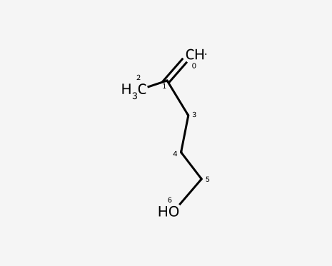 [CH]=C(C)CCCO